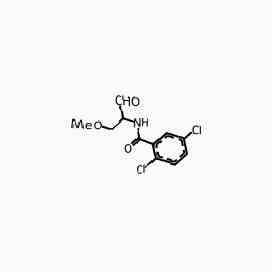 COCC(C=O)NC(=O)c1cc(Cl)ccc1Cl